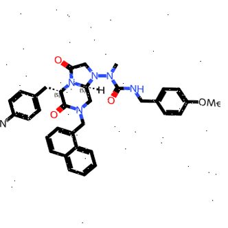 CNc1ccc(C[C@H]2C(=O)N(Cc3cccc4ccccc34)C[C@H]3N2C(=O)CN3N(C)C(=O)NCc2ccc(OC)cc2)cc1